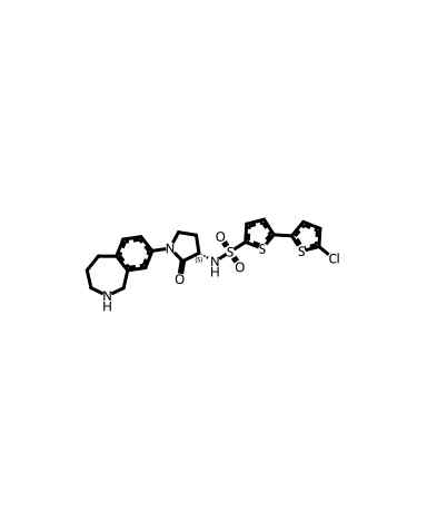 O=C1[C@@H](NS(=O)(=O)c2ccc(-c3ccc(Cl)s3)s2)CCN1c1ccc2c(c1)CNCCC2